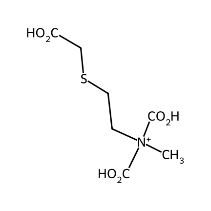 C[N+](CCSCC(=O)O)(C(=O)O)C(=O)O